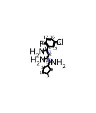 N/C(=C\C(N)=C(/N)C1CCCC1)c1cc(Cl)ccc1F